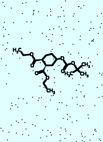 CCOC(=O)[C@H]1CC[C@@H](OC(=O)OC(C)(C)C)C[C@@H]1C(=O)OCC